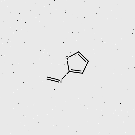 C=Nc1cccs1